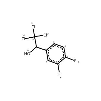 OC(c1ccc(F)c(F)c1)C(Cl)(Cl)Cl